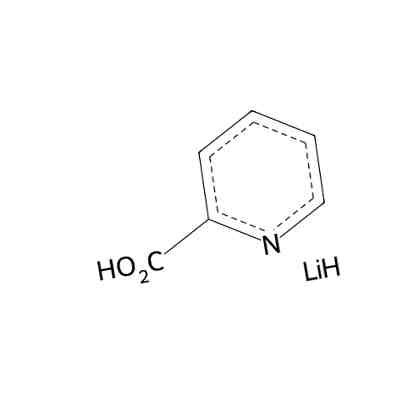 O=C(O)c1ccccn1.[LiH]